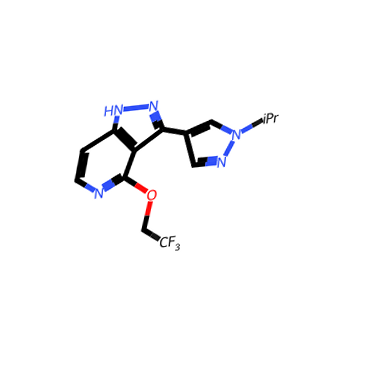 CC(C)n1cc(-c2n[nH]c3ccnc(OCC(F)(F)F)c23)cn1